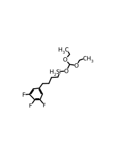 CCOC(OCC)O[SiH2]CCCCc1cc(F)c(F)c(F)c1